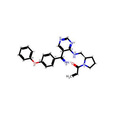 C=CC(=O)N1CCC[C@@H]1CNc1ncncc1C(=N)c1ccc(Oc2ccccc2)cc1